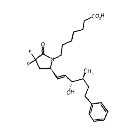 C[C@@H](CCc1ccccc1)[C@H](O)C=C[C@H]1CC(F)(F)C(=O)N1CCCCCCC(=O)O